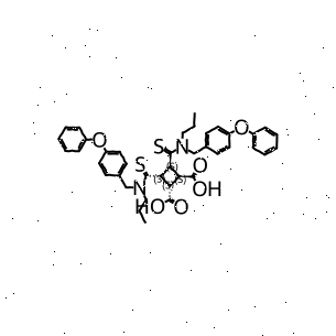 CCCN(Cc1ccc(Oc2ccccc2)cc1)C(=S)[C@H]1[C@@H](C(=O)O)[C@H](C(=O)O)[C@@H]1C(=S)N(CCC)Cc1ccc(Oc2ccccc2)cc1